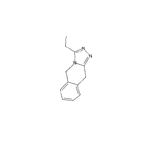 CCc1nnc2n1Cc1ccccc1C2